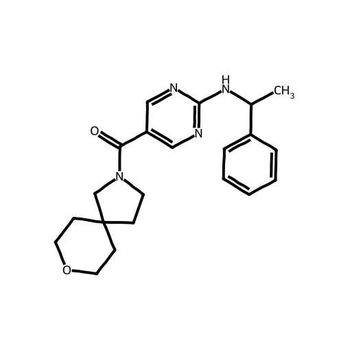 CC(Nc1ncc(C(=O)N2CCC3(CCOCC3)C2)cn1)c1ccccc1